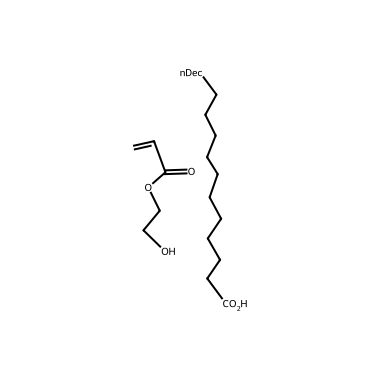 C=CC(=O)OCCO.CCCCCCCCCCCCCCCCCCCCC(=O)O